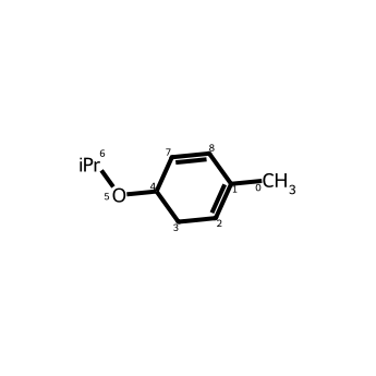 CC1=CCC(OC(C)C)C=C1